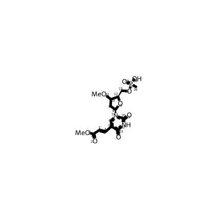 COC(=O)/C=C/c1cn([C@H]2CC(OC)[C@@H](COP(C)(=O)O)O2)c(=O)[nH]c1=O